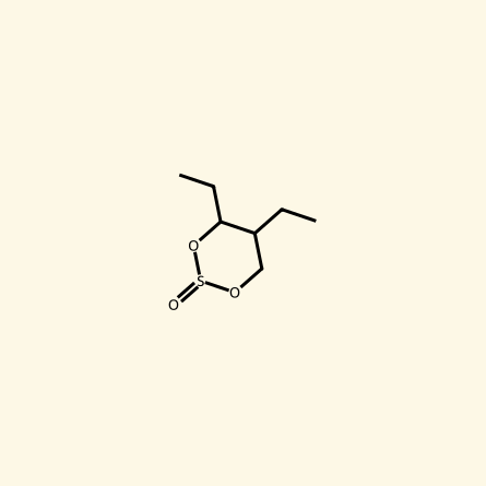 CCC1COS(=O)OC1CC